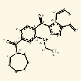 C=Cc1ncc(C(=N)c2cnc(C(=O)N3CCCCCC3)cc2NCC(F)(F)F)n1/C=C\C